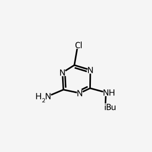 CCC(C)Nc1nc(N)nc(Cl)n1